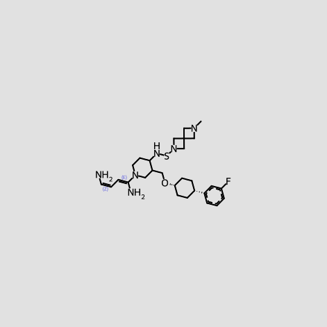 CN1CC2(C1)CN(SNC1CCN(/C(N)=C/C=C\N)CC1CO[C@H]1CC[C@@H](c3cccc(F)c3)CC1)C2